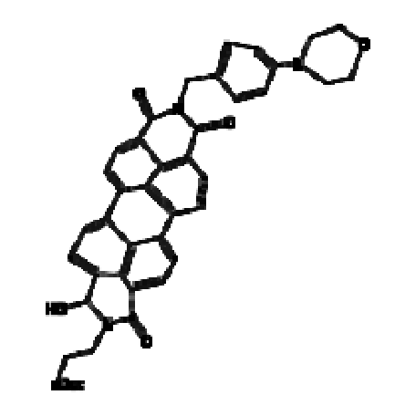 CCCCCCCCCCCCN1C(=O)c2ccc3c4ccc5c6c(ccc(c7ccc(c2c37)C1O)c64)C(=O)N(Cc1ccc(N2CCOCC2)cc1)C5=O